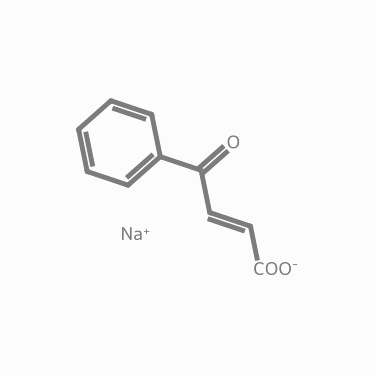 O=C([O-])C=CC(=O)c1ccccc1.[Na+]